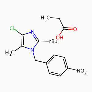 CCC(=O)O.CCCCc1nc(Cl)c(C)n1Cc1ccc([N+](=O)[O-])cc1